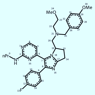 CCCNc1nccc(-c2c(-c3ccc(F)cc3)nc3n2C(CN(CCOC)Cc2ccc(OC)cc2)CC3)n1